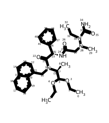 CCOC(OCC)[C@H](C)N(Cc1cccc2ccccc12)C(=O)[C@@H](NC(=O)CN(C)N(CC)C(N)=O)c1ccccc1